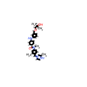 Cc1cc(N(C)C(=O)[C@H]2CC[C@H](Nc3cccc(COCC(C)(C)O)c3)CC2)ccc1CN1CCN[C@@H](C)C1